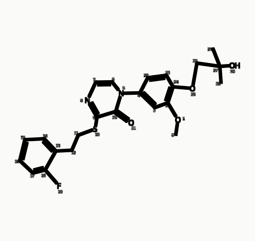 COc1cc(-n2ccnc(SCCc3ccccc3F)c2=O)ccc1OCC(C)(C)O